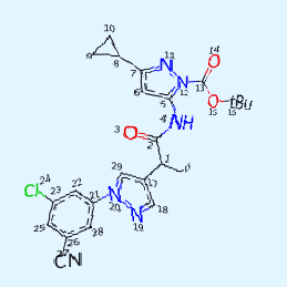 CC(C(=O)Nc1cc(C2CC2)nn1C(=O)OC(C)(C)C)c1cnn(-c2cc(Cl)cc(C#N)c2)c1